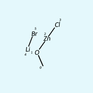 C[O][Zn][Cl].[Li][Br]